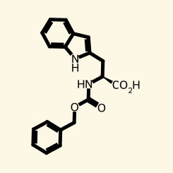 O=C(N[C@@H](Cc1cc2ccccc2[nH]1)C(=O)O)OCc1ccccc1